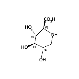 O=C(O)[C@H]1NC[C@H](O)[C@@H](O)[C@@H]1O